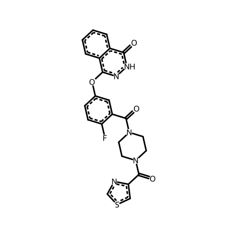 O=C(c1cscn1)N1CCN(C(=O)c2cc(Oc3n[nH]c(=O)c4ccccc34)ccc2F)CC1